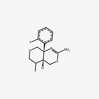 CC1COC[C@]2(c3ccccc3F)N=C(N)SC[C@H]12